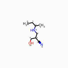 BCC(C)NCC(C#N)CO